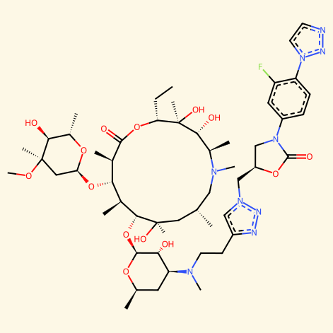 CC[C@H]1OC(=O)[C@H](C)[C@@H](O[C@H]2C[C@@](C)(OC)[C@@H](O)[C@H](C)O2)[C@H](C)[C@@H](O[C@@H]2O[C@H](C)C[C@H](N(C)CCc3cn(C[C@H]4CN(c5ccc(-n6ccnn6)c(F)c5)C(=O)O4)nn3)[C@H]2O)[C@](C)(O)C[C@@H](C)CN(C)[C@H](C)[C@@H](O)[C@]1(C)O